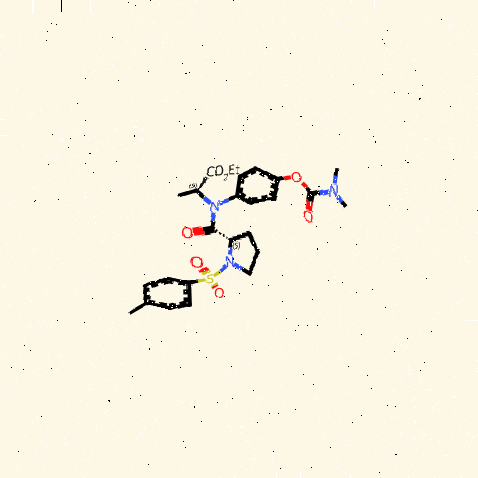 CCOC(=O)[C@H](C)N(C(=O)[C@@H]1CCCN1S(=O)(=O)c1ccc(C)cc1)c1ccc(OC(=O)N(C)C)cc1